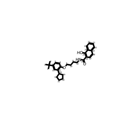 CC(C)(C)c1ccc(OCCCCNC(=O)c2ccc3ccccc3c2O)c(C2CCCC2)c1